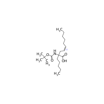 CCCCC/C=C\CC(CCCCC)(NC(=O)OC(C)(C)C)C(=O)O